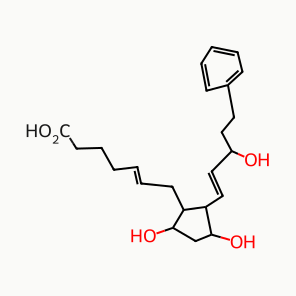 O=C(O)CCCC=CCC1C(O)CC(O)C1C=CC(O)CCc1ccccc1